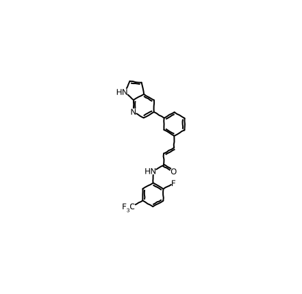 O=C(C=Cc1cccc(-c2cnc3[nH]ccc3c2)c1)Nc1cc(C(F)(F)F)ccc1F